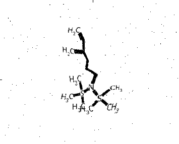 C=CC(=C)CCCN(S(C)(C)C)S(C)(C)C